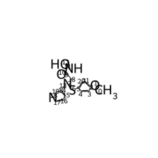 COc1ccc(SN(CC(=O)NO)Cc2cccnc2)cc1